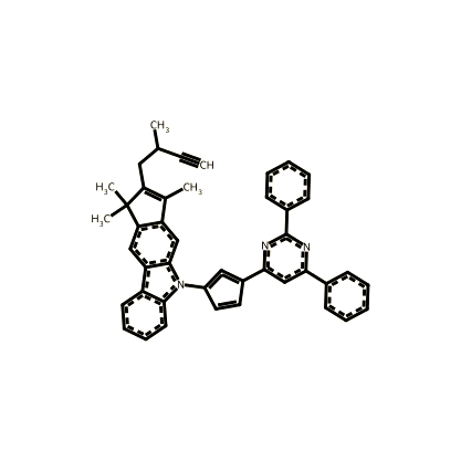 C#CC(C)CC1=C(C)c2cc3c(cc2C1(C)C)c1ccccc1n3C1=C=C(c2cc(-c3ccccc3)nc(-c3ccccc3)n2)C=C1